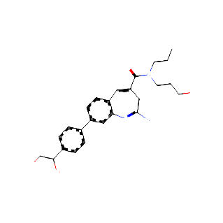 CCCN(CCCO)C(=O)C1=Cc2ccc(-c3ccc(C(O)CO)cc3)cc2N=C(N)C1